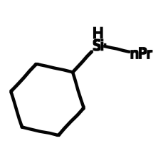 CCC[SiH]C1CCCCC1